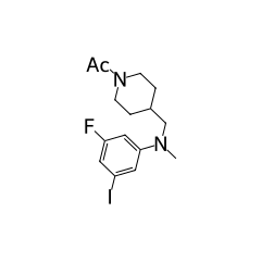 CC(=O)N1CCC(CN(C)c2cc(F)cc(I)c2)CC1